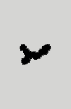 c1ccc(-c2ccc(-c3nc(-c4ccc5ccccc5c4)nc(-c4ccc5c(c4)oc4ccc(-c6ccc7c(ccc8c9ccccc9oc78)c6)cc45)n3)cc2)cc1